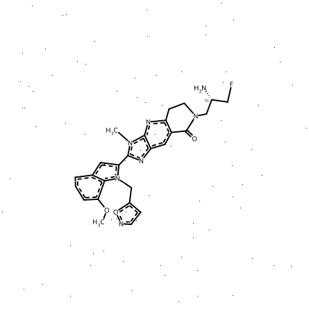 COc1cccc2cc(-c3nc4cc5c(nc4n3C)CCN(C[C@H](N)CF)C5=O)n(Cc3ccno3)c12